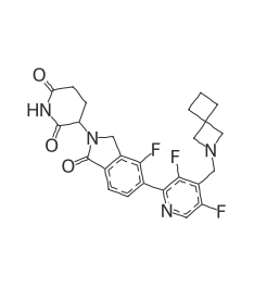 O=C1CCC(N2Cc3c(ccc(-c4ncc(F)c(CN5CC6(CCC6)C5)c4F)c3F)C2=O)C(=O)N1